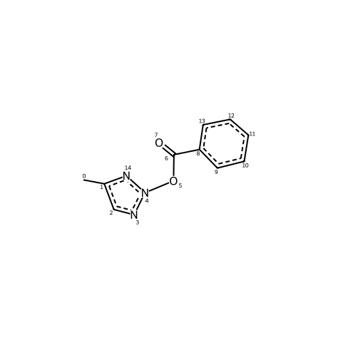 Cc1cnn(OC(=O)c2ccccc2)n1